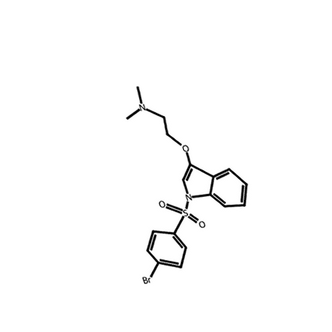 CN(C)CCOc1cn(S(=O)(=O)c2ccc(Br)cc2)c2ccccc12